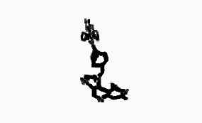 Cc1cc2ncc3ncn(Cc4ccc(S(N)(=O)=O)cc4)c3c2cn1